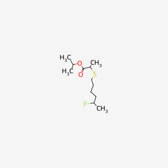 CC(F)CCCCSC(C)C(=O)OC(C)C